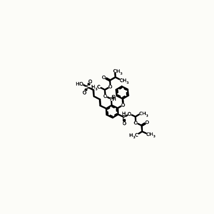 CC(OC(=O)C(C)C)O[PH](=O)c1ccc(CCCCS(=O)(=O)O)c([PH](=O)OC(C)OC(=O)C(C)C)c1Oc1ccccc1